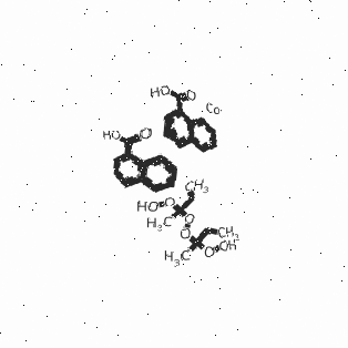 CCC(C)(OO)OOC(C)(CC)OO.O=C(O)c1cccc2ccccc12.O=C(O)c1cccc2ccccc12.[Co]